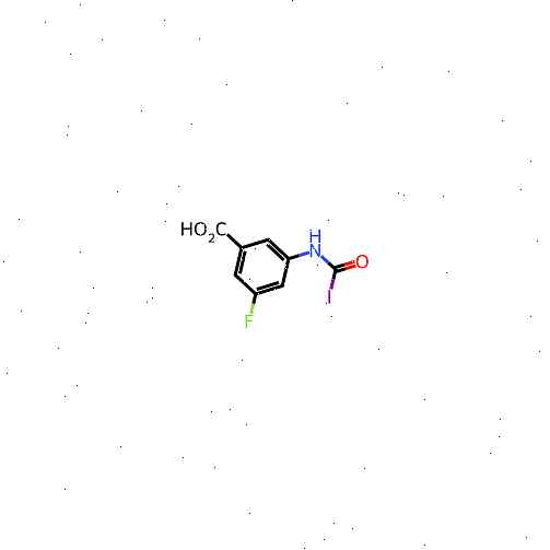 O=C(I)Nc1cc(F)cc(C(=O)O)c1